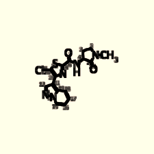 CN1CCC(NC(=O)c2nc(-c3cnn4ccccc34)c(Cl)s2)C1=O